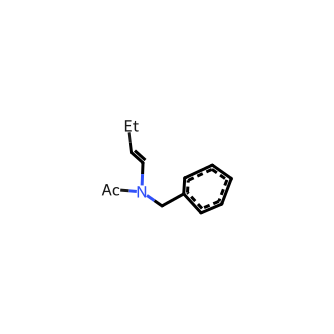 CC/C=C/N(Cc1ccccc1)C(C)=O